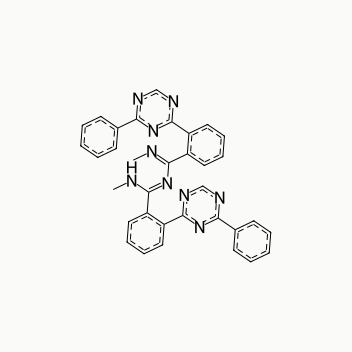 C/N=C(\N=C(/NC)c1ccccc1-c1ncnc(-c2ccccc2)n1)c1ccccc1-c1ncnc(-c2ccccc2)n1